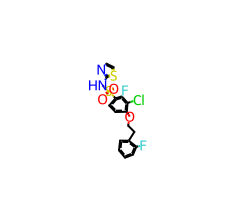 O=S(=O)(Nc1nccs1)c1ccc(OCCc2ccccc2F)c(Cl)c1F